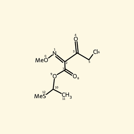 CON=C(C(=O)CCl)C(=O)OC(C)SC